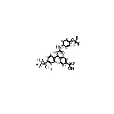 CC(C)(C)c1ccc(C(NC(=O)Nc2ccc(OC(F)(F)F)cc2)c2ccc(C(=O)O)cc2)cc1